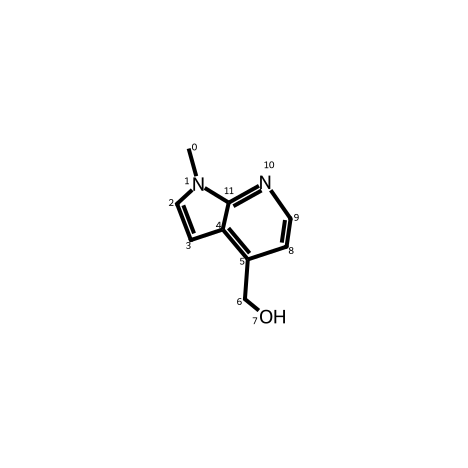 Cn1ccc2c(CO)ccnc21